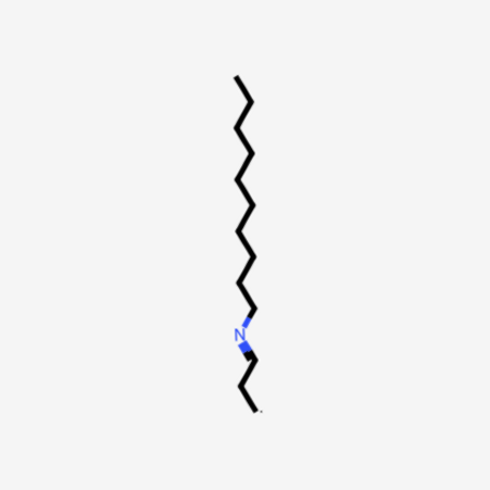 [CH2]CC=NCCCCCCCCCC